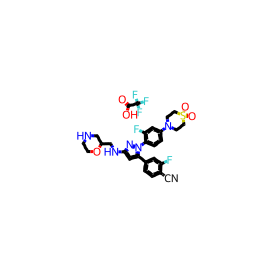 N#Cc1ccc(-c2cc(NCC3CNCCO3)nn2-c2ccc(N3CCS(=O)(=O)CC3)cc2F)cc1F.O=C(O)C(F)(F)F